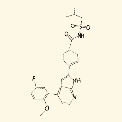 COc1ccc(F)cc1-c1ccnc2[nH]c(C3=CCC(C(=O)NS(=O)(=O)CC(C)C)CC3)cc12